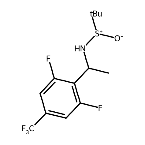 CC(N[S+]([O-])C(C)(C)C)c1c(F)cc(C(F)(F)F)cc1F